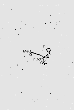 C=C(C)C(=O)OC(CCCCCCCC)C(CCCCCCCC(=O)OC)n1cc[n+](Cc2ccccc2)c1.[I-]